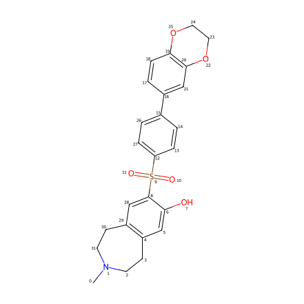 CN1CCc2cc(O)c(S(=O)(=O)c3ccc(-c4ccc5c(c4)OCCO5)cc3)cc2CC1